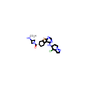 O=C(O)NC1CN(C(=O)[C@H]2CCc3c(sc4ncnc(Nc5ccn6nccc6c5Cl)c34)C2)C1